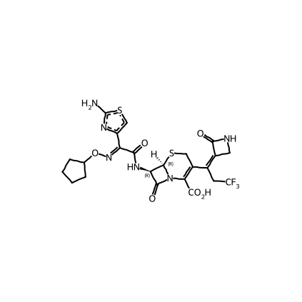 Nc1nc(C(=NOC2CCCC2)C(=O)N[C@@H]2C(=O)N3C(C(=O)O)=C(C(CC(F)(F)F)=C4CNC4=O)CS[C@H]23)cs1